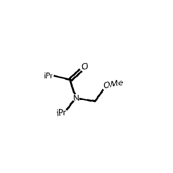 COCN(C(=O)C(C)C)C(C)C